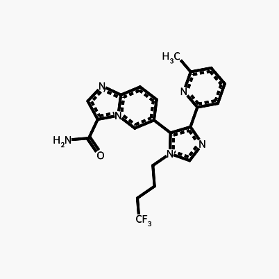 Cc1cccc(-c2ncn(CCCC(F)(F)F)c2-c2ccc3ncc(C(N)=O)n3c2)n1